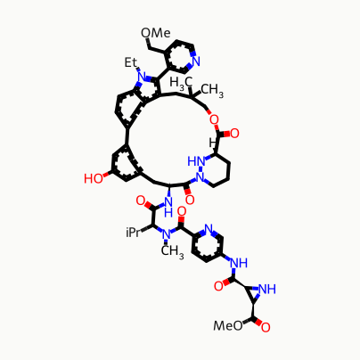 CCn1c(-c2cnccc2COC)c2c3cc(ccc31)-c1cc(O)cc(c1)C[C@H](NC(=O)C(C(C)C)N(C)C(=O)c1ccc(NC(=O)[C@H]3N[C@H]3C(=O)OC)cn1)C(=O)N1CCC[C@H](N1)C(=O)OCC(C)(C)C2